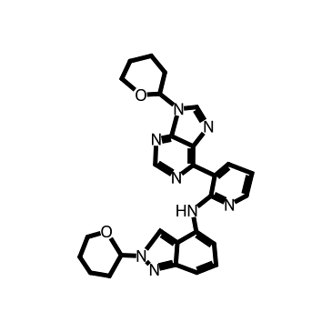 c1cnc(Nc2cccc3nn(C4CCCCO4)cc23)c(-c2ncnc3c2ncn3C2CCCCO2)c1